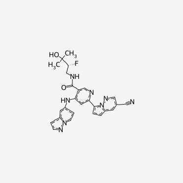 CC(C)(O)[C@H](F)CNC(=O)c1cnc(-c2ccc3cc(C#N)cnn23)cc1Nc1ccn2nccc2c1